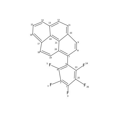 Fc1c(F)c(F)c(-c2ccc3ccc4cccc5ccc2c3c45)c(F)c1F